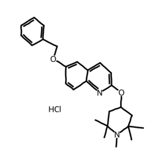 CN1C(C)(C)CC(Oc2ccc3cc(OCc4ccccc4)ccc3n2)CC1(C)C.Cl